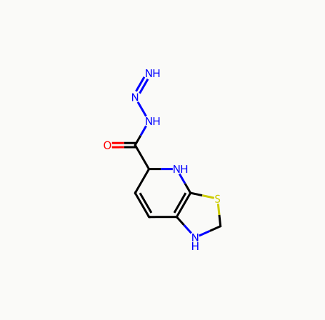 N=NNC(=O)C1C=CC2=C(N1)SCN2